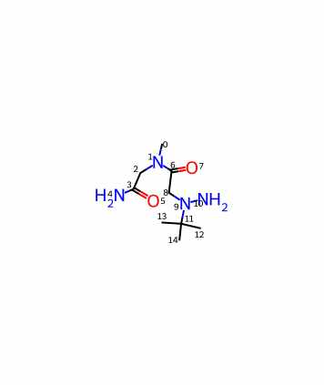 CN(CC(N)=O)C(=O)CN(N)C(C)(C)C